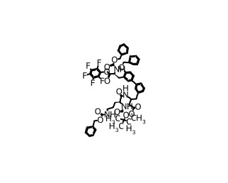 COC(=O)CC(Cc1cccc(-c2ccc(OCc3ccccc3)c(C[C@H](NC(=O)OCc3ccccc3)C(=O)Oc3c(F)c(F)c(F)c(F)c3F)c2)c1)NC(=O)[C@H](CCCNC(=O)OCc1ccccc1)NC(=O)OC(C)(C)C